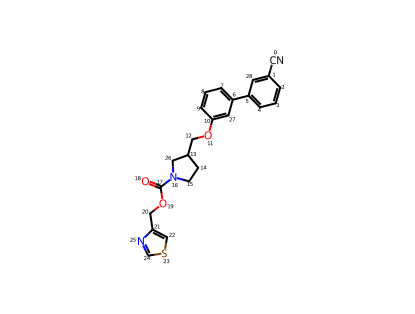 N#Cc1cccc(-c2cccc(OCC3CCN(C(=O)OCc4cscn4)C3)c2)c1